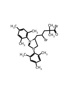 Cc1cc(C)c(N2C=[N+](c3c(C)cc(C)cc3C)C(CC(Br)CC(C)(C)C(=O)Br)C2)c(C)c1